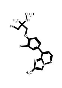 Cc1cn2nccc(-c3ccc(OCC(C)(CC(C)C)NC(=O)O)c(F)c3)c2n1